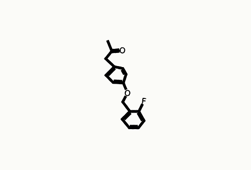 CC(=O)Cc1ccc(OCc2ccccc2F)cc1